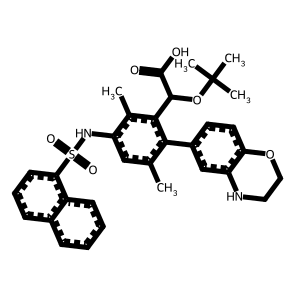 Cc1cc(NS(=O)(=O)c2cccc3ccccc23)c(C)c(C(OC(C)(C)C)C(=O)O)c1-c1ccc2c(c1)NCCO2